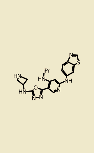 CC(C)Nc1cc(Nc2ccc3ncsc3c2)ncc1-c1nnc(NC2CNC2)o1